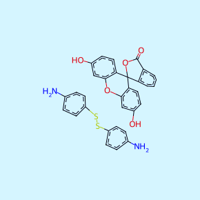 Nc1ccc(SSc2ccc(N)cc2)cc1.O=C1OC2(c3ccc(O)cc3Oc3cc(O)ccc32)c2ccccc21